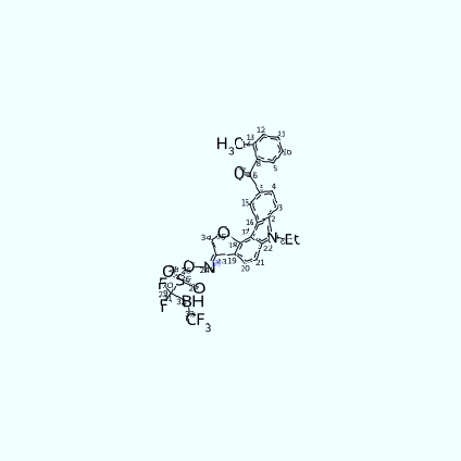 CCn1c2ccc(C(=O)c3ccccc3C)cc2c2c3c(ccc21)/C(=N/OS(=O)(=O)C(F)(F)BC(F)(F)F)CO3